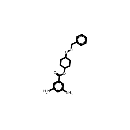 Nc1cc(N)cc(C(=O)OC2CCC(OOCc3ccccc3)CC2)c1